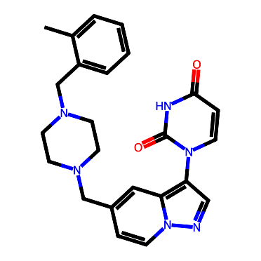 Cc1ccccc1CN1CCN(Cc2ccn3ncc(-n4ccc(=O)[nH]c4=O)c3c2)CC1